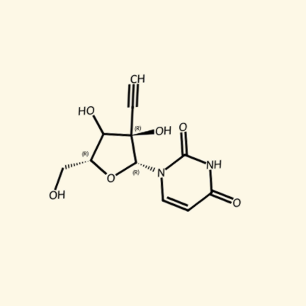 C#C[C@@]1(O)C(O)[C@@H](CO)O[C@H]1n1ccc(=O)[nH]c1=O